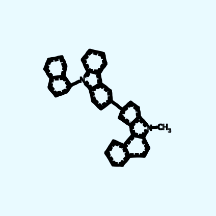 Cn1c2ccc(-c3ccc4c(c3)c3ccccc3n4-c3cccc4ccccc34)cc2c2c3ccccc3ccc21